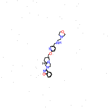 c1ccc2c(N3CCN4C[C@H](COc5ccc(CNCCN6CCOCC6)cn5)CC[C@H]4C3)noc2c1